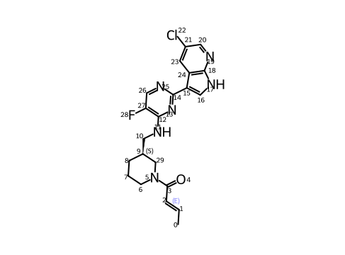 C/C=C/C(=O)N1CCC[C@@H](CNc2nc(-c3c[nH]c4ncc(Cl)cc34)ncc2F)C1